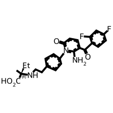 CC[C@@](C)(NCCc1ccc(-n2c(N)c(C(=O)c3ccc(F)cc3F)ccc2=O)cc1)C(=O)O